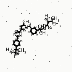 Cc1cc(-c2nc(-c3ccc(C(C)(C)C(F)(F)F)cc3)no2)nn1Cc1cccc(C(C)(C)COC(=O)[C@@H](N)C(C)C)c1